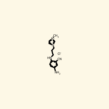 C[n+]1ccn(CCCNc2ccc(N)cc2C#N)c1.[Cl-]